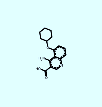 Nc1c(C(=O)O)cnc2cccc(OC3CCCCC3)c12